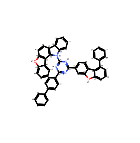 c1ccc(-c2ccc(-c3nc(-c4ccc5c(c4)oc4cccc(-c6ccccc6)c45)nc(-n4c5ccccc5c5ccc6oc7ccccc7c6c54)n3)cc2)cc1